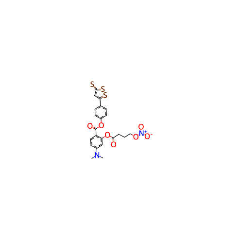 CN(C)c1ccc(C(=O)Oc2ccc(-c3cc(=S)ss3)cc2)c(OC(=O)CCCO[N+](=O)[O-])c1